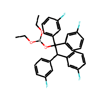 CCOB(OCC)OC(c1cccc(F)c1)(c1cccc(F)c1)C(c1cccc(F)c1)c1cccc(F)c1